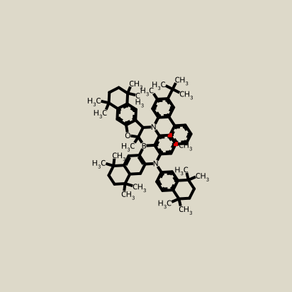 Cc1cc2c3c(c1)N(c1cc(C)c(C(C)(C)C)cc1-c1ccccc1)C1c4cc5c(cc4OC1(C)B3C1=C(CC3C(=C1)C(C)(C)CCC3(C)C)N2c1ccc2c(c1)C(C)(C)CCC2(C)C)C(C)(C)CCC5(C)C